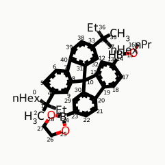 CCCCCCC(C)(CC)c1ccc2c(c1)C1(c3cc(BOCCC)ccc3-c3ccc(B4OCCO4)cc31)c1cc(C(C)(CC)CCCCCC)ccc1-2